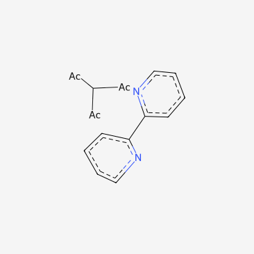 CC(=O)C(C(C)=O)C(C)=O.c1ccc(-c2ccccn2)nc1